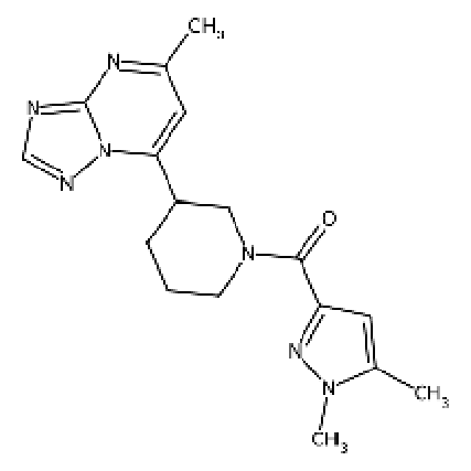 Cc1cc(C2CCCN(C(=O)c3cc(C)n(C)n3)C2)n2ncnc2n1